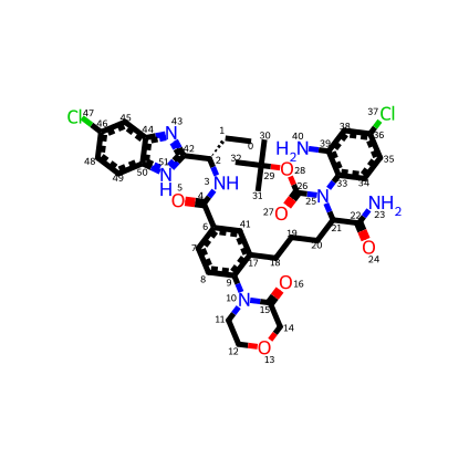 CC[C@H](NC(=O)c1ccc(N2CCOCC2=O)c(CCCC(C(N)=O)N(C(=O)OC(C)(C)C)c2ccc(Cl)cc2N)c1)c1nc2cc(Cl)ccc2[nH]1